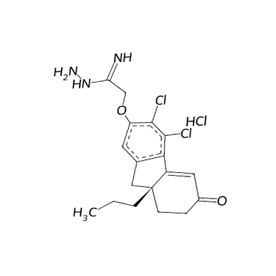 CCC[C@]12CCC(=O)C=C1c1c(cc(OCC(=N)NN)c(Cl)c1Cl)C2.Cl